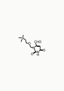 C[Si](C)(C)CCOCn1c(C=O)cc(=O)[nH]c1=O